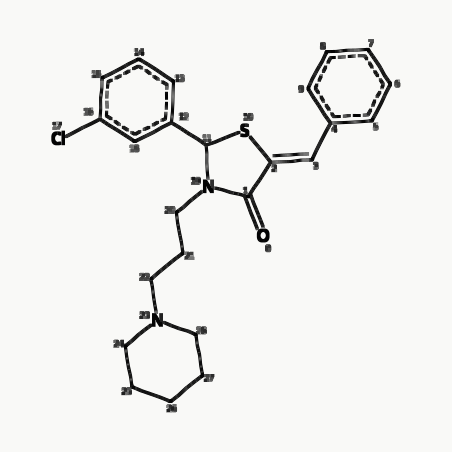 O=C1C(=Cc2ccccc2)SC(c2cccc(Cl)c2)N1CCCN1CCCCC1